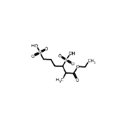 CCOC(=O)C(C)C(CCCS(=O)(=O)O)S(=O)(=O)O